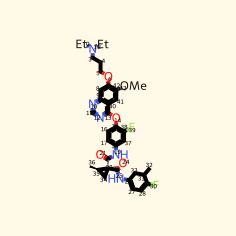 CCN(CC)CCCOc1cc2ncnc(Oc3ccc(NC(=O)[C@]4(C(=O)NC5=CC=C(F)C(C)C5)C[C@H]4C)cc3F)c2cc1OC